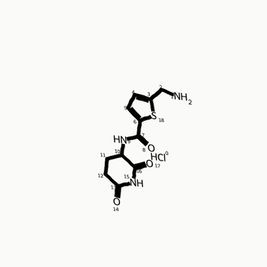 Cl.NCc1ccc(C(=O)NC2CCC(=O)NC2=O)s1